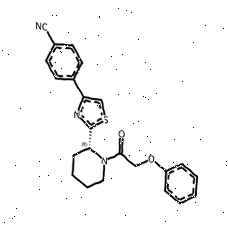 N#Cc1ccc(-c2csc([C@H]3CCCCN3C(=O)COc3ccccc3)n2)cc1